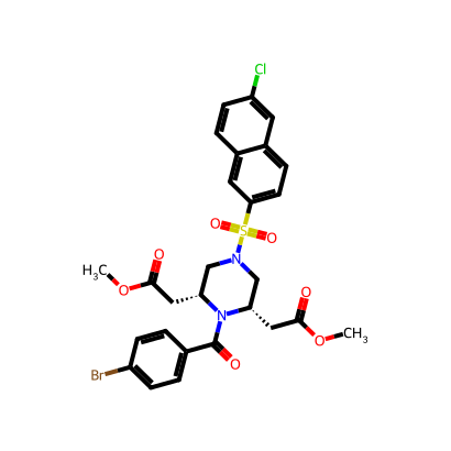 COC(=O)C[C@@H]1CN(S(=O)(=O)c2ccc3cc(Cl)ccc3c2)C[C@H](CC(=O)OC)N1C(=O)c1ccc(Br)cc1